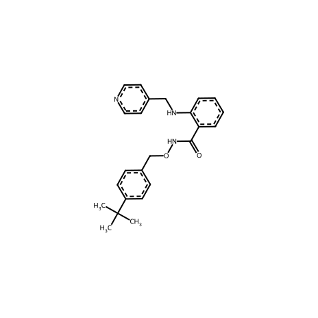 CC(C)(C)c1ccc(CONC(=O)c2ccccc2NCc2ccncc2)cc1